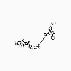 Cc1nn2c(N3CCN(CCO)CC3)cc(-c3cccc(CCCCCCCCC(=O)N4CCC(CN5CCN(c6cc7c(cc6F)C(=O)N(C6CCC(=O)NC6=O)C7=O)CC5)CC4)c3)nc2c1-c1ccccc1